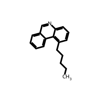 CCCCCc1cccc2ncc3ccccc3c12